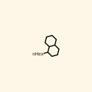 CCCCCCC1CCCC2CCCCC12